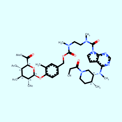 COC(=O)[C@H]1O[C@@H](Oc2ccc(COC(=O)N(C)CCN(C)C(=O)n3ccc4c(N(C)[C@H]5CN(C(=O)CC#N)CC[C@H]5C)ncnc43)cc2C)[C@H](OC(C)=O)[C@@H](OC(C)=O)[C@@H]1OC(C)=O